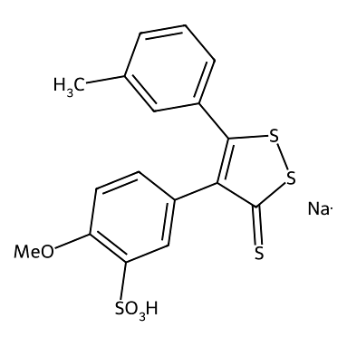 COc1ccc(-c2c(-c3cccc(C)c3)ssc2=S)cc1S(=O)(=O)O.[Na]